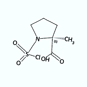 C[C@@]1(C(=O)O)CCCN1S(=O)(=O)Cl